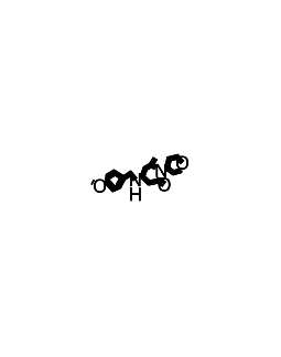 COc1ccc(CNC2CC(=O)N(C3CCOCC3)C(C)C2)cc1